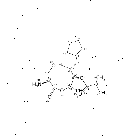 CC(C)C(=O)O[C@@H]1[C@@H](CC2CCCC2)COC[C@H](N)C(=O)O[C@H]1C